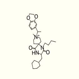 CCCCN1C(=O)C(CC2CCCCC2)NC(=O)C12CC[N+](C)(C(C)c1ccc3c(c1)OCCO3)CC2